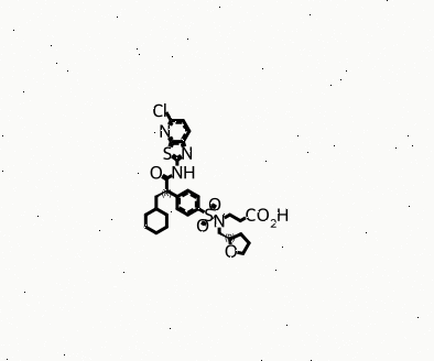 O=C(O)CCN(C[C@H]1CCCO1)S(=O)(=O)c1ccc([C@@H](CC2CCCCC2)C(=O)Nc2nc3ccc(Cl)nc3s2)cc1